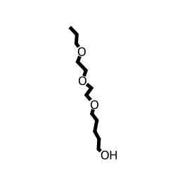 CCCOCCOCCOCCCCCO